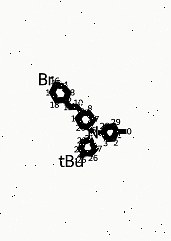 Cc1ccc(N(c2ccc(/C=C/c3ccc(Br)cc3)cc2)c2ccc(C(C)(C)C)cc2)cc1